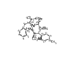 COC(=O)[C@H](Cc1ccccc1)N(N[C@@H](Cc1ccc(C)cc1)C(=O)O)C(=O)OC(C)(C)C